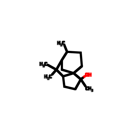 CC1CCC23CC1C(C)(C)C2CCC3(C)O